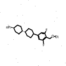 CCC[C@H]1CC[C@H](C2CCC(c3cc(F)c(COCC)c(F)c3)CC2)CC1